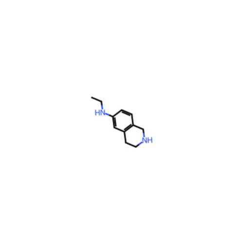 CCNc1ccc2c(c1)CCNC2